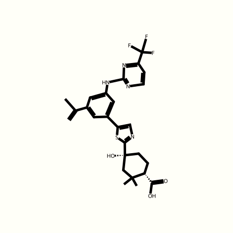 C=C(C)c1cc(Nc2nccc(C(F)(F)F)n2)cc(-c2cnc([C@@]3(O)CC[C@H](C(=O)O)C(C)(C)C3)s2)c1